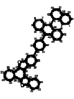 c1ccc2c(-c3c4ccccc4c(-c4ccc(-c5ccc6c(c5)oc5c7ccccc7c7oc8ccccc8c7c65)cc4)c4ccccc34)cccc2c1